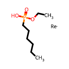 CCCCCCP(=O)(O)OCC.[Re]